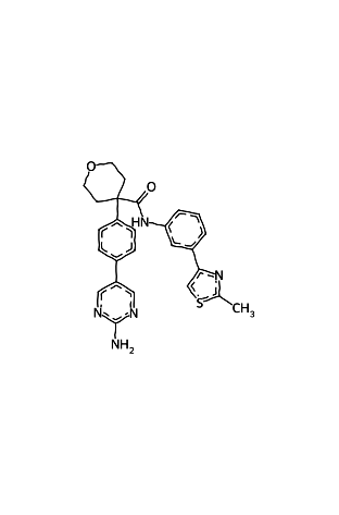 Cc1nc(-c2cccc(NC(=O)C3(c4ccc(-c5cnc(N)nc5)cc4)CCOCC3)c2)cs1